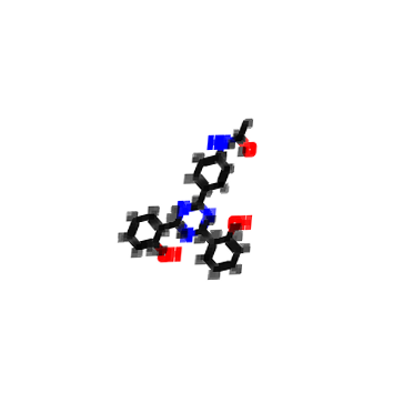 CC(=O)Nc1ccc(-c2nc(-c3ccccc3O)nc(-c3ccccc3O)n2)cc1